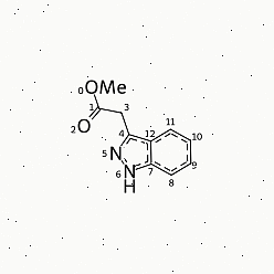 COC(=O)Cc1n[nH]c2ccccc12